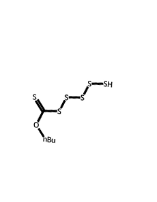 CCCCOC(=S)SSSSS